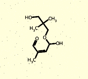 CC(C=O)=CC(O)OCC(C)(C)CO